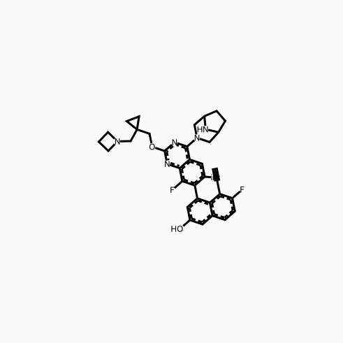 C#Cc1c(F)ccc2cc(O)cc(-c3c(C(C)C)cc4c(N5CC6CCC(C5)N6)nc(OCC5(CN6CCC6)CC5)nc4c3F)c12